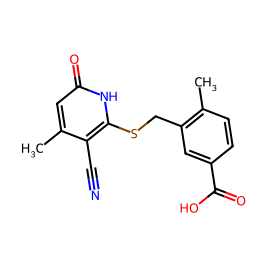 Cc1ccc(C(=O)O)cc1CSc1[nH]c(=O)cc(C)c1C#N